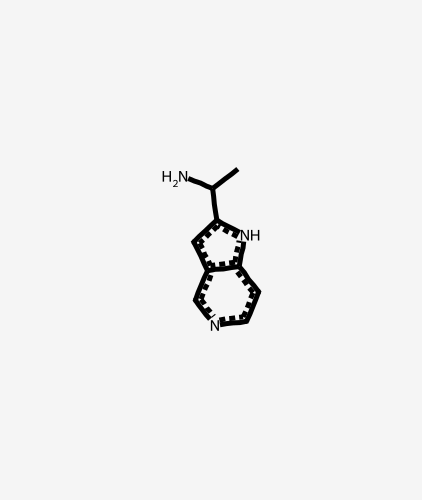 CC(N)c1cc2cnccc2[nH]1